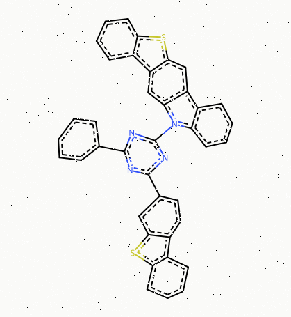 c1ccc(-c2nc(-c3ccc4c(c3)sc3ccccc34)nc(-n3c4ccccc4c4cc5sc6ccccc6c5cc43)n2)cc1